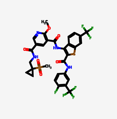 COc1ncc(C(=O)NCC2(S(C)(=O)=O)CC2)cc1C(=O)Nc1c(C(=O)Nc2ccc(F)c(C(F)(F)F)c2)sc2cc(C(F)(F)F)ccc12